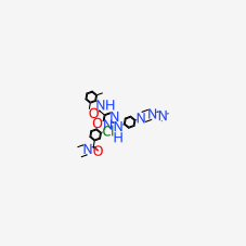 CCN(CC)C(=O)c1ccc(Oc2nc(Nc3ccc(N4CCN(CN(C)C)CC4)cc3)ncc2C(=O)Nc2c(C)cccc2C)c(Cl)c1